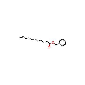 C=CCCCCCCCCC(=O)OCc1ccccc1